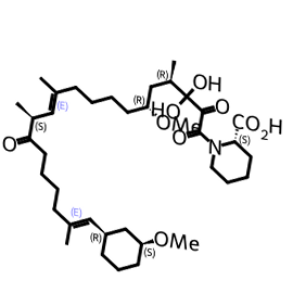 CO[C@H](CCCC/C(C)=C/[C@H](C)C(=O)CCCC/C(C)=C/[C@@H]1CCC[C@H](OC)C1)C[C@@H](C)C(O)(O)C(=O)C(=O)N1CCCC[C@H]1C(=O)O